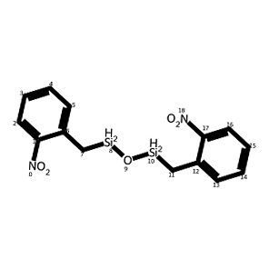 O=[N+]([O-])c1ccccc1C[SiH2]O[SiH2]Cc1ccccc1[N+](=O)[O-]